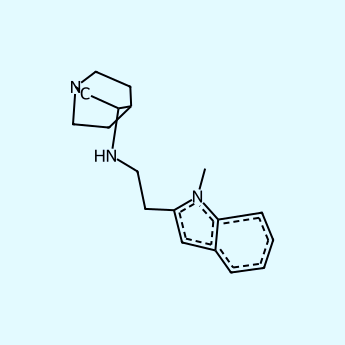 Cn1c(CCNC2CN3CCC2CC3)cc2ccccc21